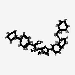 O=C(Nc1cc(-c2ccc3ccn(Cc4ccccc4)c3c2)n[nH]1)c1ccc(N2CCCC2)cc1